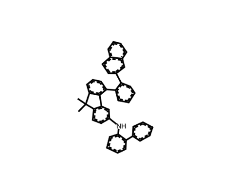 CC1(C)c2ccc(Nc3ccccc3-c3ccccc3)cc2-c2c(-c3ccccc3-c3ccc4ccccc4c3)cccc21